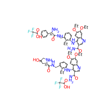 CCOc1cc2ncc(C(N)=O)c(Nc3cccc(CNC(=O)[C@H](N)c4ccccc4)c3CC)c2cc1OCC.CCOc1cc2ncc(C(N)=O)c(Nc3cccc(CNC(=O)[C@H]4C[C@@H](O)CN4)c3CC)c2cc1OCC.O=C(O)C(F)(F)F.O=C(O)C(F)(F)F